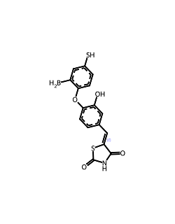 Bc1cc(S)ccc1Oc1ccc(/C=C2\SC(=O)NC2=O)cc1O